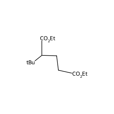 CCOC(=O)CCC(C(=O)OCC)C(C)(C)C